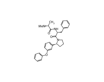 CN[C@@H](C)C(=O)N[C@@H](Cc1ccccc1)C(=O)N1CCC[C@H]1c1cccc(Oc2ccccc2)c1